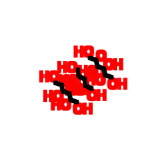 O=C(CO)[C@H](O)[C@@H](O)[C@H](O)CO.OC[C@@H](O)[C@H](O)[C@@H](O)CO.OC[C@@H](O)[C@H](O)[C@@H](O)[C@H](O)CO